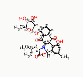 Cc1cc(O)c2c(c1)[C@@H]1OC(=O)[C@H](CC(C)C)N1C1=C2C(=O)c2cccc(O[C@H]3C[C@@H](O)[C@@H](O)[C@H](C)O3)c2C1=O